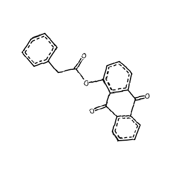 O=C(Cc1ccccc1)Oc1cccc2c1C(=O)c1ccccc1C2=O